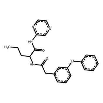 CCCC(NC(=O)Cc1cccc(Oc2ccccc2)c1)C(=O)Nc1cnccn1